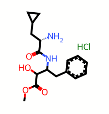 COC(=O)C(O)C(Cc1ccccc1)NC(=O)[C@@H](N)CC1CC1.Cl